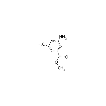 COC(=O)c1cc(C)cc(N)c1